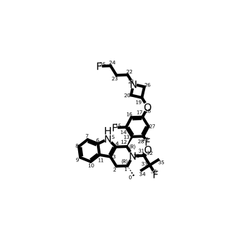 C[C@@H]1Cc2c([nH]c3ccccc23)[C@@H](c2c(F)cc(OC3CN(CCCF)C3)cc2F)N1C(=O)C(C)(C)F